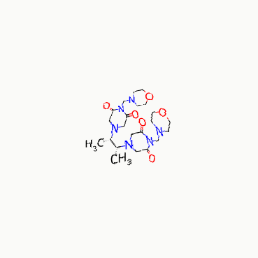 C[C@H]([C@H](C)N1CC(=O)N(CN2CCOCC2)C(=O)C1)N1CC(=O)N(CN2CCOCC2)C(=O)C1